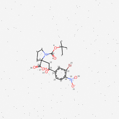 CC(C)(C)OC(=O)N1CCCC1(CC(=O)c1ccc([N+](=O)[O-])c(Br)c1)C(=O)O